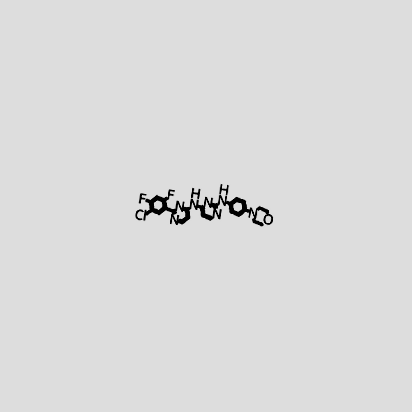 Fc1cc(F)c(-c2nccc(Nc3ccnc(Nc4ccc(N5CCOCC5)cc4)n3)n2)cc1Cl